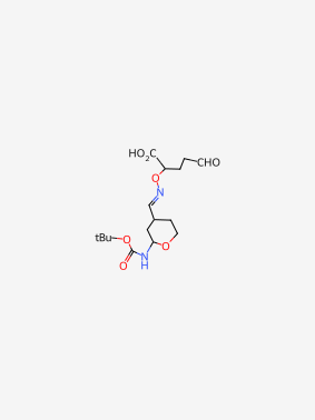 CC(C)(C)OC(=O)NC1CC(C=NOC(CCC=O)C(=O)O)CCO1